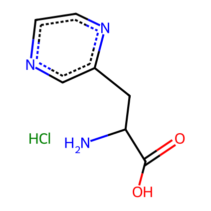 Cl.NC(Cc1cnccn1)C(=O)O